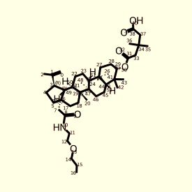 C=C(C)[C@@H]1CC[C@]2(CC(=O)NCCOCCC)CC[C@]3(C)[C@H](CC[C@@H]4[C@@]5(C)CC[C@H](OC(=O)CC(C)(C)CC(=O)O)C(C)(C)[C@@H]5CC[C@]43C)[C@@H]12